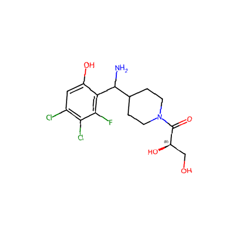 NC(c1c(O)cc(Cl)c(Cl)c1F)C1CCN(C(=O)[C@H](O)CO)CC1